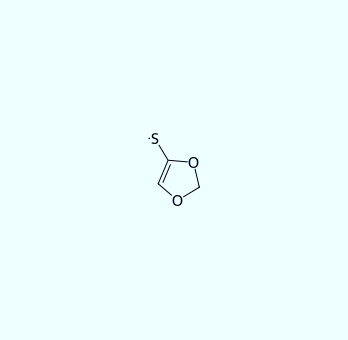 [S]C1=COCO1